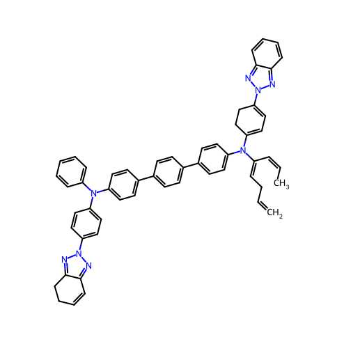 C=CC/C=C(\C=C/C)N(C1=CC=C(n2nc3ccccc3n2)CC1)c1ccc(-c2ccc(-c3ccc(N(c4ccccc4)c4ccc(-n5nc6c(n5)CCC=C6)cc4)cc3)cc2)cc1